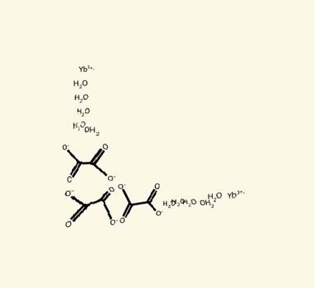 O.O.O.O.O.O.O.O.O.O.O=C([O-])C(=O)[O-].O=C([O-])C(=O)[O-].O=C([O-])C(=O)[O-].[Yb+3].[Yb+3]